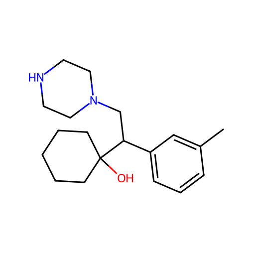 Cc1cccc(C(CN2CCNCC2)C2(O)CCCCC2)c1